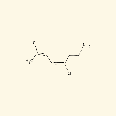 C/C=C/C(Cl)=C\C=C(/C)Cl